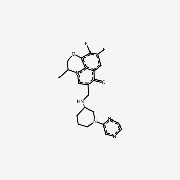 CC1COc2c(F)c(F)cc3c(=O)c(CN[C@H]4CCCN(c5cnccn5)C4)cn1c23